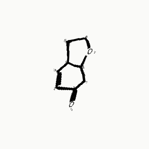 O=C1C=CC2CCOC2C1